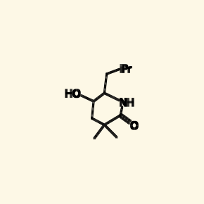 CC(C)CC1NC(=O)C(C)(C)CC1O